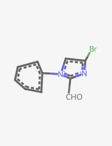 O=Cc1nc(Br)cn1-c1ccccc1